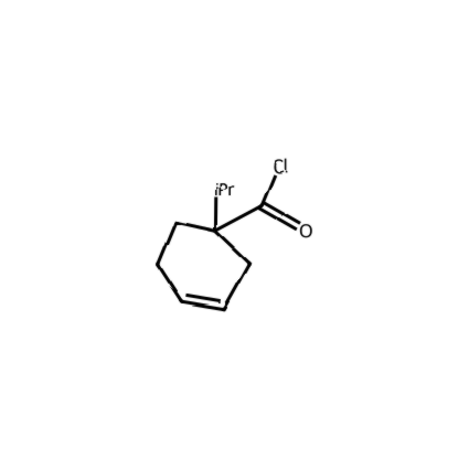 CC(C)C1(C(=O)Cl)CC=CCC1